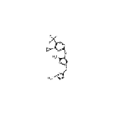 Cc1nn(Cc2ccn(C)n2)cc1Nc1ncc(C(F)(F)F)c(C2CC2)n1